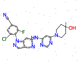 CC1(O)CCN(c2cc(Nc3cc4c(cn3)cnn4-c3c(F)cc(C#N)cc3Cl)ncn2)CC1